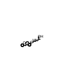 CC(CO)CNCCCOc1cccc2c1CCC(=O)N2Cc1ccccc1